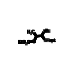 CCCCCCCC(CCCC)C(C)OC(=O)OCC